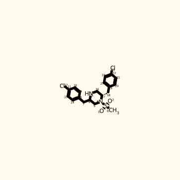 CS(=O)(=O)N1CC(Cc2ccc(Cl)cc2)NC[C@@H]1Cc1ccc(Cl)cc1